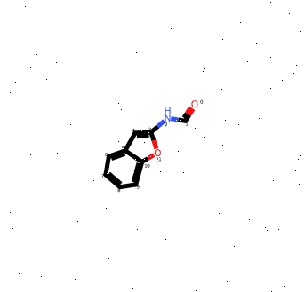 O=CNc1cc2ccccc2o1